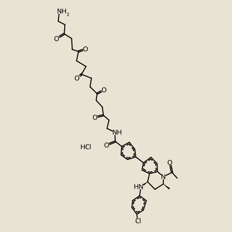 CC(=O)N1c2ccc(-c3ccc(C(=O)NCCC(=O)CCC(=O)CCC(=O)CCC(=O)CCC(=O)CCN)cc3)cc2[C@H](Nc2ccc(Cl)cc2)C[C@@H]1C.Cl